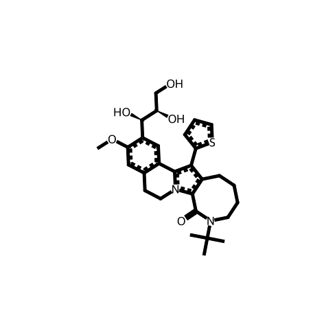 COc1cc2c(cc1[C@@H](O)[C@H](O)CO)-c1c(-c3cccs3)c3c(n1CC2)C(=O)N(C(C)(C)C)CCCC3